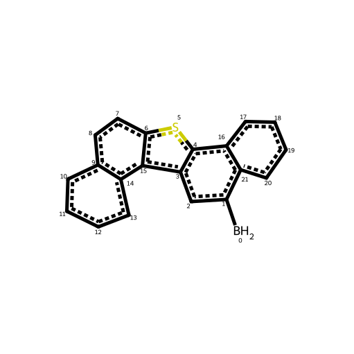 Bc1cc2c(sc3ccc4ccccc4c32)c2ccccc12